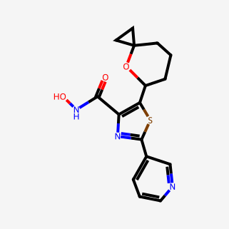 O=C(NO)c1nc(-c2cccnc2)sc1C1CCCC2(CC2)O1